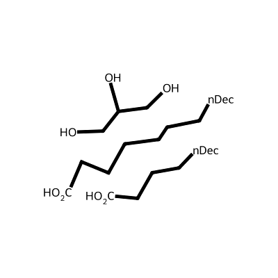 CCCCCCCCCCCCCC(=O)O.CCCCCCCCCCCCCCCCC(=O)O.OCC(O)CO